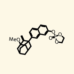 C=C1C2(OC)CC3CC(C2)CC1(c1ccc2ccc(OP4(=O)OCCO4)cc2c1)C3